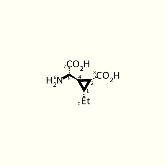 CC[C@H]1[C@@H](C(=O)O)[C@@H]1[C@H](N)C(=O)O